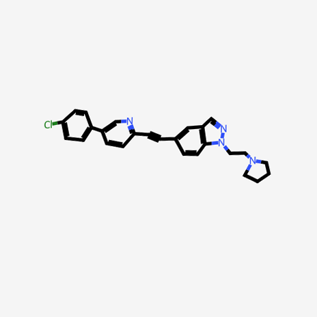 Clc1ccc(-c2ccc(C#Cc3ccc4c(cnn4CCN4CCCC4)c3)nc2)cc1